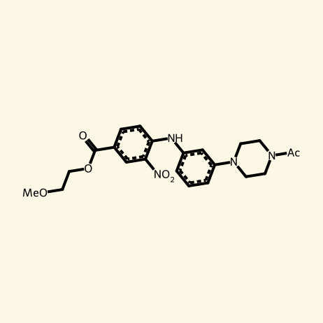 COCCOC(=O)c1ccc(Nc2cccc(N3CCN(C(C)=O)CC3)c2)c([N+](=O)[O-])c1